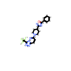 FC(F)(F)c1nnc2ccc(N3CCC(c4noc(-c5ccccc5)n4)CC3)nn12